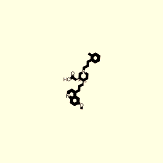 COc1ccc2nccc(CCC[C@@H]3CCN(CCCc4ccccc4C)C[C@@H]3CC(=O)O)c2c1